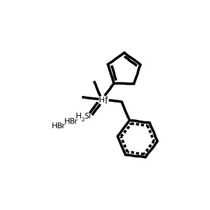 Br.Br.[CH3][Hf]([CH3])(=[SiH2])([CH2]c1ccccc1)[C]1=CC=CC1